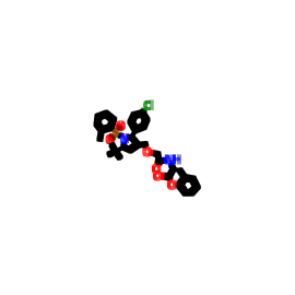 Cc1ccccc1S(=O)(=O)N1[C@@H](c2ccc(Cl)cc2)C(COCC(=O)N[C@@H](Cc2ccccc2)C(=O)O)=C[C@H]1C(C)(C)C